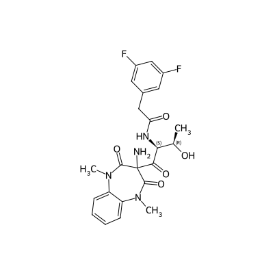 C[C@@H](O)[C@H](NC(=O)Cc1cc(F)cc(F)c1)C(=O)C1(N)C(=O)N(C)c2ccccc2N(C)C1=O